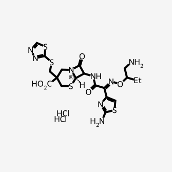 CCC(CN)ON=C(C(=O)NC1C(=O)N2CC(CSc3nncs3)(C(=O)O)CS[C@H]12)c1csc(N)n1.Cl.Cl